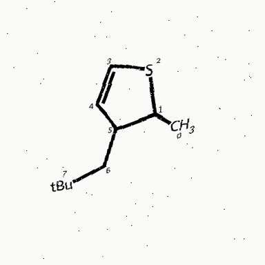 CC1SC=CC1CC(C)(C)C